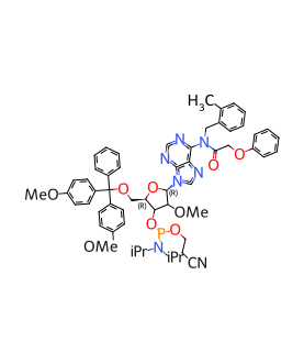 COc1ccc(C(OC[C@H]2O[C@@H](n3cnc4c(N(Cc5ccccc5C)C(=O)COc5ccccc5)ncnc43)C(OC)C2OP(OCCC#N)N(C(C)C)C(C)C)(c2ccccc2)c2ccc(OC)cc2)cc1